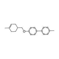 CC1=CCC(COc2ccc(-c3ccc(C)cc3)cc2)CC1